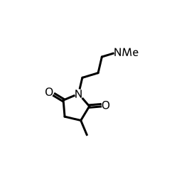 CNCCCN1C(=O)CC(C)C1=O